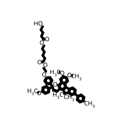 COc1ccc(C2(c3ccc(OCCOC(=O)CCCCCOC(=O)CCCCO)cc3)C=Cc3c4c(c5cc(OC)c(OC)cc5c3O2)-c2ccc(-c3ccc(C)cc3)cc2C4(C)C)cc1